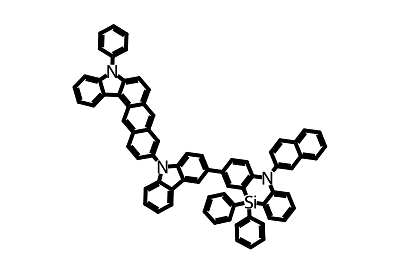 c1ccc(-n2c3ccccc3c3c4cc5ccc(-n6c7ccccc7c7cc(-c8ccc9c(c8)[Si](c8ccccc8)(c8ccccc8)c8ccccc8N9c8ccc9ccccc9c8)ccc76)cc5cc4ccc32)cc1